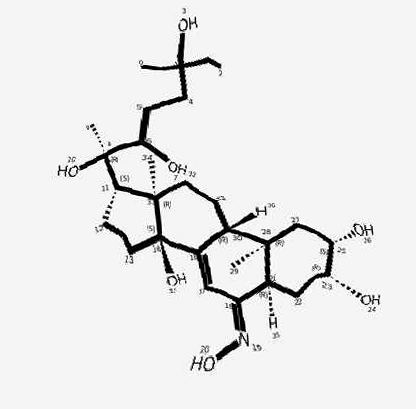 CC(C)(O)CCC(O)[C@](C)(O)[C@H]1CC[C@@]2(O)C3=CC(=NO)[C@@H]4C[C@@H](O)[C@@H](O)C[C@]4(C)[C@H]3CC[C@]12C